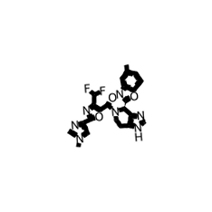 Cc1ccc2oc([C@@H]3c4nc[nH]c4CCN3C(=O)c3oc(-c4cn(C)cn4)nc3C(F)F)nc2c1